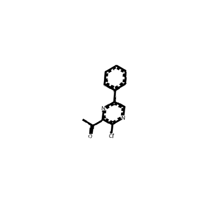 CC(=O)c1nc(-c2ccccc2)cnc1Cl